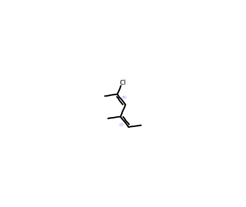 C/C=C(C)\C=C(/C)Cl